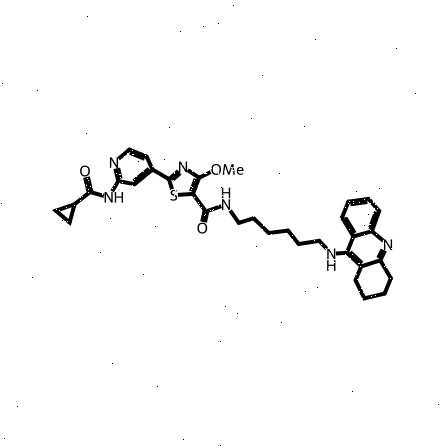 COc1nc(-c2ccnc(NC(=O)C3CC3)c2)sc1C(=O)NCCCCCCNc1c2c(nc3ccccc13)CCCC2